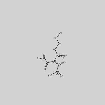 CNC(=O)c1c([N+](=O)[O-])cnn1CCOC